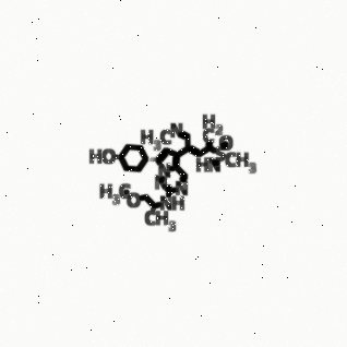 C=C(/C=C(\C=N/C)c1cc([C@H]2CC[C@H](O)CC2)n2nc(N[C@@H](C)COC)ncc12)S(C)(=N)=O